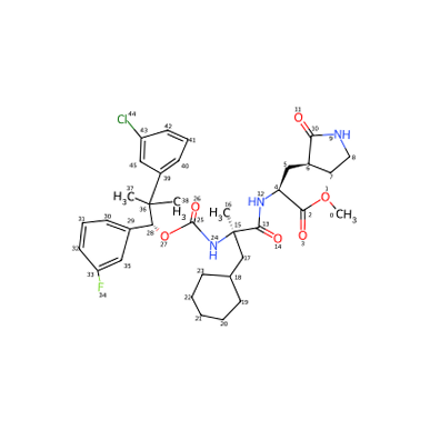 COC(=O)[C@H](C[C@@H]1CCNC1=O)NC(=O)[C@@](C)(CC1CCCCC1)NC(=O)O[C@H](c1cccc(F)c1)C(C)(C)c1cccc(Cl)c1